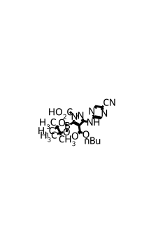 CCCCOC(=O)c1c(Nc2cnc(C#N)cn2)nn(C(=O)O)c1B1OC(C)(C)C(C)(C)O1